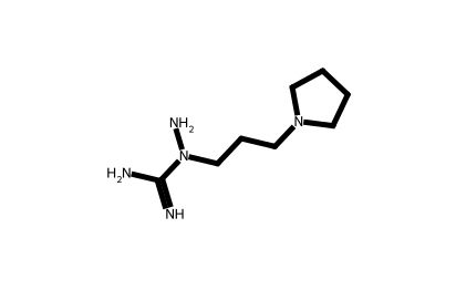 N=C(N)N(N)CCCN1CCCC1